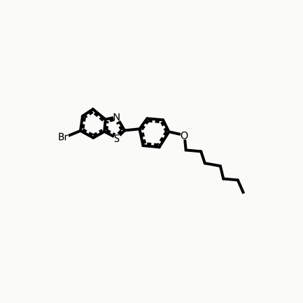 CCCCCCCOc1ccc(-c2nc3ccc(Br)cc3s2)cc1